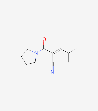 CC(C)/C=C(\C#N)C(=O)N1CCCC1